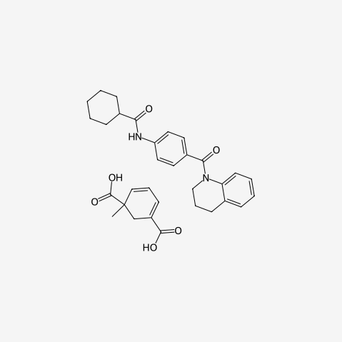 CC1(C(=O)O)C=CC=C(C(=O)O)C1.O=C(Nc1ccc(C(=O)N2CCCc3ccccc32)cc1)C1CCCCC1